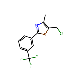 Cc1nc(-c2cccc(C(F)(F)F)c2)sc1CCl